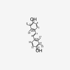 Cc1c(O)ccc(C=Cc2ccc(O)c(C)c2C)c1C